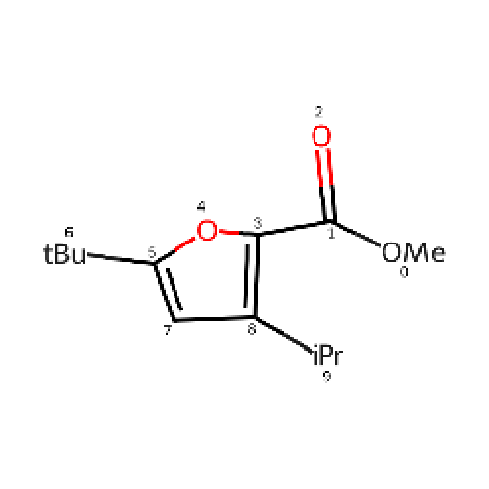 COC(=O)c1oc(C(C)(C)C)cc1C(C)C